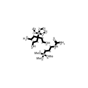 CCO[Si](OCC)(OCC)C(CCN)(CCO)CCO.CO[Si](CCCNC(N)=O)(OC)OC